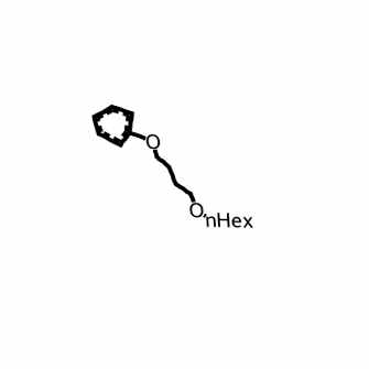 [CH2]CCCCCOCCCCOc1ccccc1